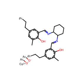 CC(=O)[O-].CC(=O)[O-].Cc1cc(CCC(C)C)cc(C=NC2CCCCC2N=Cc2cc(CCC(C)C)cc(C)c2O)c1O.[Co+2]